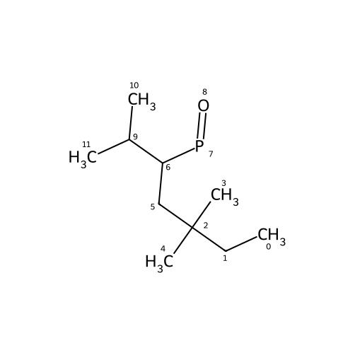 CCC(C)(C)CC(P=O)C(C)C